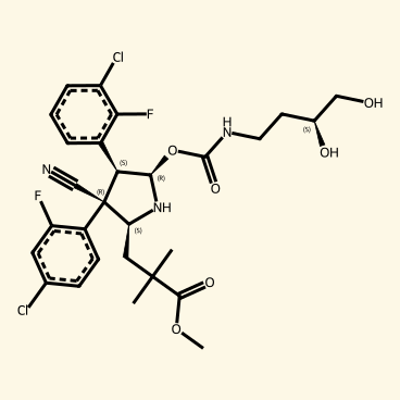 COC(=O)C(C)(C)C[C@@H]1N[C@H](OC(=O)NCC[C@H](O)CO)[C@H](c2cccc(Cl)c2F)[C@@]1(C#N)c1ccc(Cl)cc1F